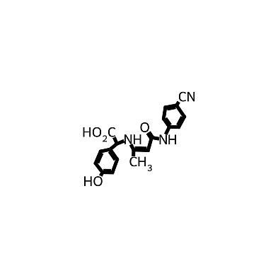 CC(=CC(=O)Nc1ccc(C#N)cc1)NC(C(=O)O)c1ccc(O)cc1